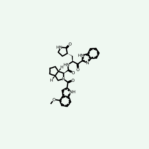 COc1cccc2[nH]c(C(=O)N3C[C@@H]4CCC[C@@H]4[C@H]3C(=O)N[C@@H](C[C@@H]3CCNC3=O)C(=O)c3nc4ccccc4[nH]3)cc12